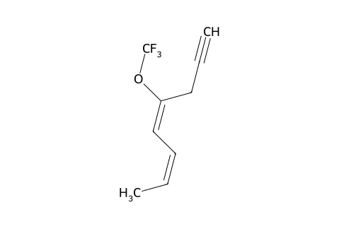 C#CC/C(=C\C=C/C)OC(F)(F)F